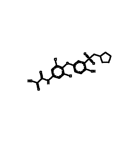 O=C(O)C(=O)Nc1cc(Cl)c(Oc2ccc(O)c(S(=O)(=O)CC3CCCC3)c2)c(Cl)c1